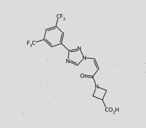 O=C(O)C1CN(C(=O)/C=C\n2cnc(-c3cc(C(F)(F)F)cc(C(F)(F)F)c3)n2)C1